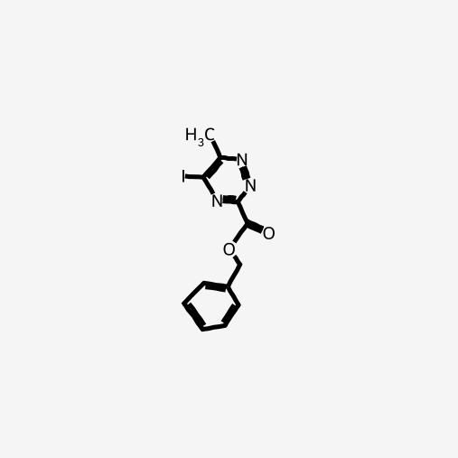 Cc1nnc(C(=O)OCc2ccccc2)nc1I